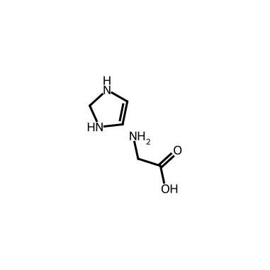 C1=CNCN1.NCC(=O)O